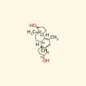 CC1=C2[C@@H]3CC[C@H](O)[C@@]3(C)CC[C@@H]2[C@@]2(C)CC[C@H](O)CC2=C1